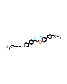 CCCCCCCC1CCC(c2ccc(C(F)CCOc3ccc(C4CCC(CC)CC4)cc3F)cc2)CC1